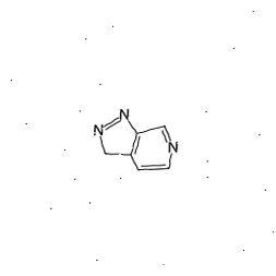 c1cc2c(cn1)N=NC2